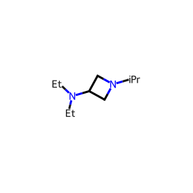 CCN(CC)C1CN(C(C)C)C1